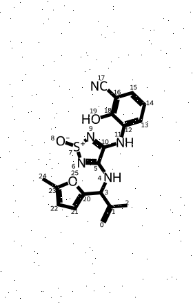 C=C(C)C(Nc1n[s+]([O-])nc1Nc1cccc(C#N)c1O)c1ccc(C)o1